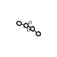 Clc1cc(-c2ccccc2)cc2oc3cc(-c4ccccc4)ccc3c12